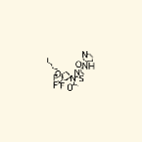 CCCCCOc1ccc(N(C(C)=O)c2nc(C(=O)Nc3cccnc3)cs2)cc1C(F)(F)F